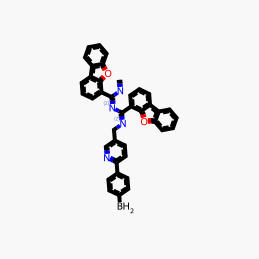 Bc1ccc(-c2ccc(C/N=C(\N=C(/N=C)c3cccc4c3oc3ccccc34)c3cccc4c3oc3ccccc34)cn2)cc1